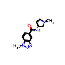 CN1CC[C@@H](NC(=O)c2ccc3c(c2)nnn3C)C1